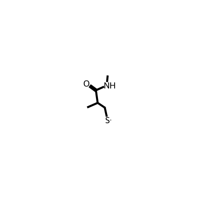 CNC(=O)C(C)C[S]